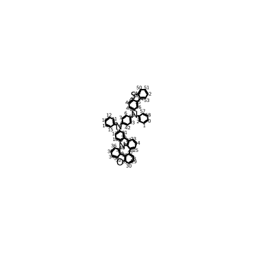 c1ccc(N(c2ccc(N(c3ccccc3)c3ccc4c(c3)c3cccc5c6cccc7oc8cccc(c8c76)n4c53)cc2)c2ccc3sc4ccccc4c3c2)cc1